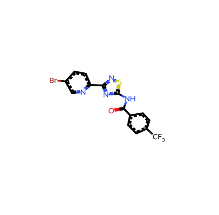 O=C(Nc1nc(-c2ccc(Br)cn2)ns1)c1ccc(C(F)(F)F)cc1